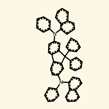 c1ccc(N(c2ccc3c(c2)C(c2ccccc2)(c2ccccc2)c2cc(N(c4ccccc4)c4cccc5ccccc45)ccc2-3)c2cccc3ccccc23)cc1